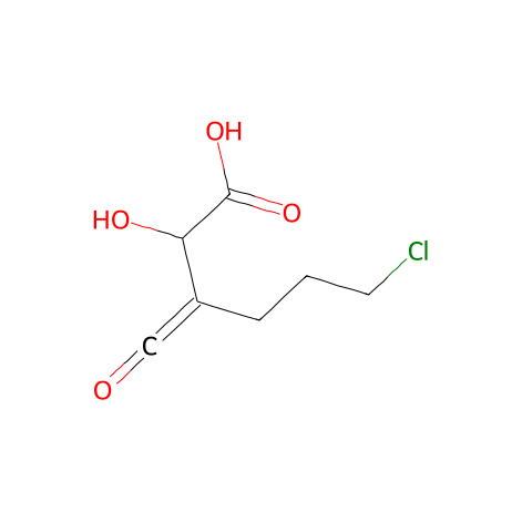 O=C=C(CCCCl)C(O)C(=O)O